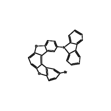 Brc1ccc2oc3ccc4oc5ccc(-n6c7ccccc7c7ccccc76)cc5c4c3c2c1